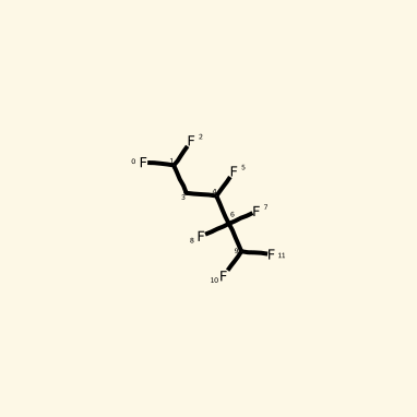 F[C](F)CC(F)C(F)(F)C(F)F